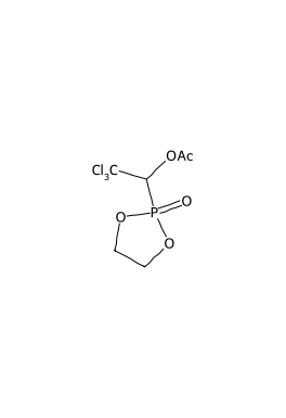 CC(=O)OC(C(Cl)(Cl)Cl)P1(=O)OCCO1